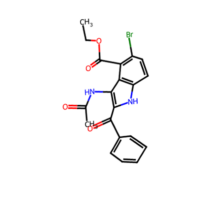 CCOC(=O)c1c(Br)ccc2[nH]c(C(=O)c3ccccc3)c(NC(C)=O)c12